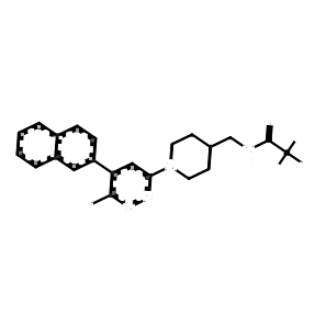 O=C(NCC1CCN(c2cc(-c3ccc4ccccc4c3)c(Cl)nn2)CC1)C(F)(F)F